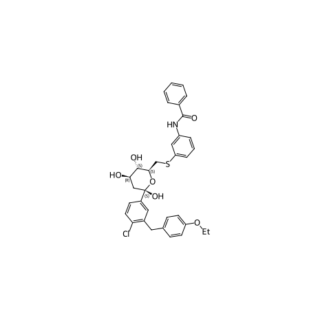 CCOc1ccc(Cc2cc([C@]3(O)C[C@@H](O)[C@H](O)[C@@H](CSc4cccc(NC(=O)c5ccccc5)c4)O3)ccc2Cl)cc1